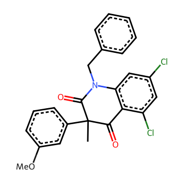 COc1cccc(C2(C)C(=O)c3c(Cl)cc(Cl)cc3N(Cc3ccccc3)C2=O)c1